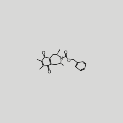 CC1=C(C)C(=O)C2=C(C[C@@H](C)N(C(=O)OCc3ccccc3)[C@@H](C)C2)C1=O